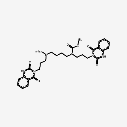 CCCCCCN(CCCCN(CCCn1c(=O)[nH]c2ccccc2c1=O)C(=O)OC(C)(C)C)CCCn1c(=O)[nH]c2ccccc2c1=O